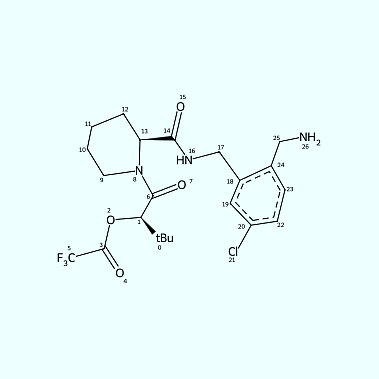 CC(C)(C)[C@@H](OC(=O)C(F)(F)F)C(=O)N1CCCC[C@H]1C(=O)NCc1cc(Cl)ccc1CN